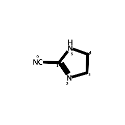 N#CC1=NC[CH]N1